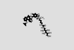 CN(CCCCNC(=O)NC[C@H](O)[C@@H](O)[C@H](O)[C@H](O)CO)S(=O)(=O)c1cc(COC2(c3cnccc3-c3ccccc3OC3CC3)CC2)c(Cl)cc1Cl